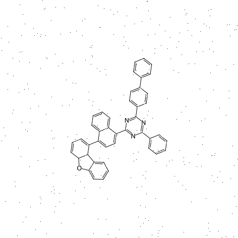 C1=CC2Oc3ccccc3C2C(c2ccc(-c3nc(-c4ccccc4)nc(-c4ccc(-c5ccccc5)cc4)n3)c3ccccc23)=C1